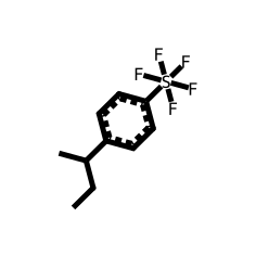 CCC(C)c1ccc(S(F)(F)(F)(F)F)cc1